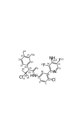 C=C(Nc1ccc(Cl)c(-c2ncc(F)c(N)c2F)c1)[C@H](c1ccc(C)c(C)c1)C(C)(C)Cl